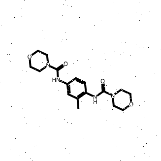 Cc1cc(NC(=O)N2CCOCC2)ccc1NC(=O)N1CCOCC1